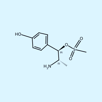 C[C@H](N)[C@H](OS(C)(=O)=O)c1ccc(O)cc1